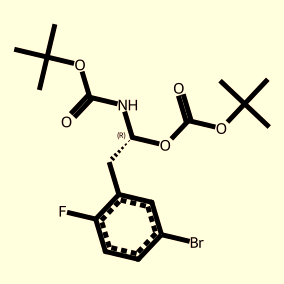 CC(C)(C)OC(=O)N[C@@H](Cc1cc(Br)ccc1F)OC(=O)OC(C)(C)C